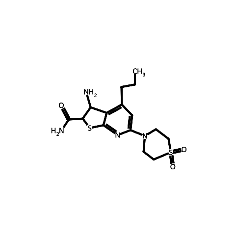 CCCc1cc(N2CCS(=O)(=O)CC2)nc2c1C(N)C(C(N)=O)S2